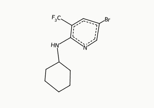 FC(F)(F)c1cc(Br)cnc1NC1CCCCC1